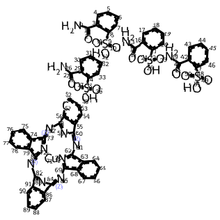 NC(=O)c1ccccc1S(=O)(=O)O.NC(=O)c1ccccc1S(=O)(=O)O.NC(=O)c1ccccc1S(=O)(=O)O.NC(=O)c1ccccc1S(=O)(=O)O.c1ccc2c(c1)C1=NC/2=N\c2c3ccccc3c3[n]2[Cu][n]2/c(c4ccccc4/c2=N/C2=N\C(=N/3)c3ccccc32)=N\1